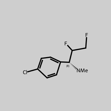 CN[C@H](c1ccc(Cl)cc1)C(F)CF